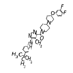 Cc1c(NCc2ccc(C(C)(C)C)cc2)ncnc1C(=O)N1CCC(N2CCC(Oc3ccc(F)c(F)c3)CC2)CC1